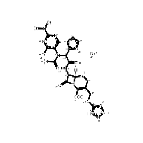 CCN(CC)c1ncc(N(C(N)=O)C(C(=O)NC2C(=O)N3C(C(=O)[O-])=C(CSc4nnn[nH]4)CS[C@H]23)c2ccco2)c(O)n1.[Na+]